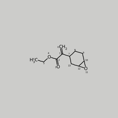 C=C(C(=O)OCC)C1CCC2OC2C1